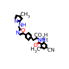 CCc1cc(C#N)cc(C)c1C(=O)NC(Cc1ccc(-c2cnc(CNc3cc(C)ccn3)o2)cc1)C(=O)O